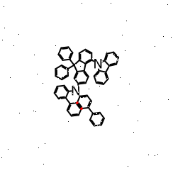 c1ccc(-c2ccc(N(c3ccc4c(c3)C(c3ccccc3)(c3ccccc3)c3cccc(-n5c6ccccc6c6ccccc65)c3-4)c3ccccc3-c3ccccc3)cc2)cc1